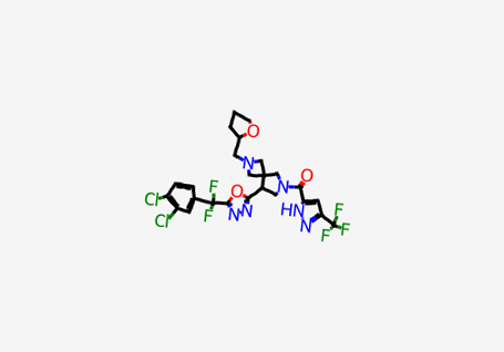 O=C(c1cc(C(F)(F)F)n[nH]1)N1CC(c2nnc(C(F)(F)c3ccc(Cl)c(Cl)c3)o2)C2(CN(CC3CCCO3)C2)C1